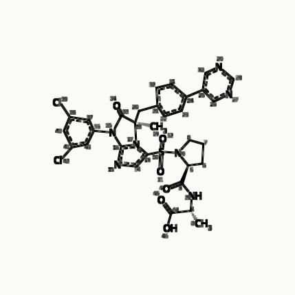 C[C@@H](NC(=O)[C@@H]1CCCN1S(=O)(=O)c1cnc2n1[C@](C)(Cc1ccc(-c3cncnc3)cc1)C(=O)N2c1cc(Cl)cc(Cl)c1)C(=O)O